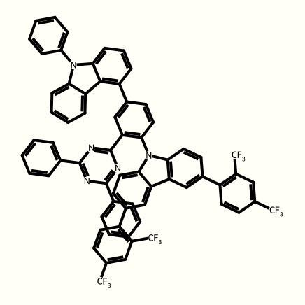 FC(F)(F)c1ccc(-c2ccc3c(c2)c2cc(-c4ccc(C(F)(F)F)cc4C(F)(F)F)ccc2n3-c2ccc(-c3cccc4c3c3ccccc3n4-c3ccccc3)cc2-c2nc(-c3ccccc3)nc(-c3ccccc3)n2)c(C(F)(F)F)c1